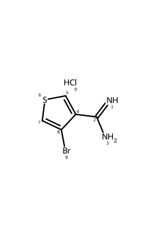 Cl.N=C(N)c1cscc1Br